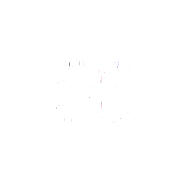 CCCCC(CC)Cc1sc(CC(CC)CCCC)c2c1C(=O)c1c(-c3nccs3)sc(-c3ccc[se]3)c1C2=O